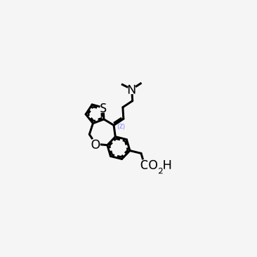 CN(C)CC/C=C1/c2cc(CC(=O)O)ccc2OCc2ccsc21